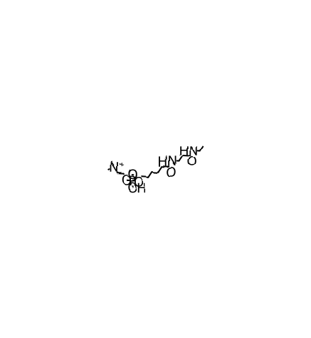 CCNC(=O)CCNC(=O)CCCCCOP(=O)(O)OCC[N+](C)(C)C